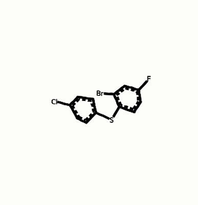 Fc1ccc(Sc2ccc(Cl)cc2)c(Br)c1